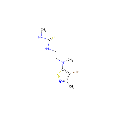 CNC(=S)NCCN(C)c1snc(C)c1Br